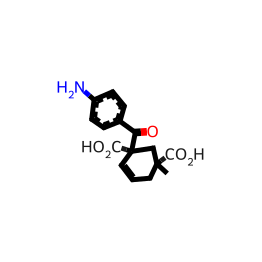 CC1(C(=O)O)CC=CC(C(=O)O)(C(=O)c2ccc(N)cc2)C1